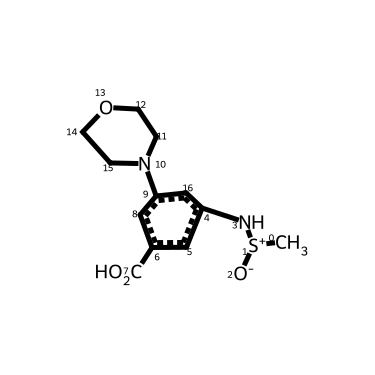 C[S+]([O-])Nc1cc(C(=O)O)cc(N2CCOCC2)c1